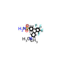 CN(C)c1ccc(-c2c(F)c(F)c(F)c(F)c2-c2ccc(S(N)(=O)=O)cc2)cc1